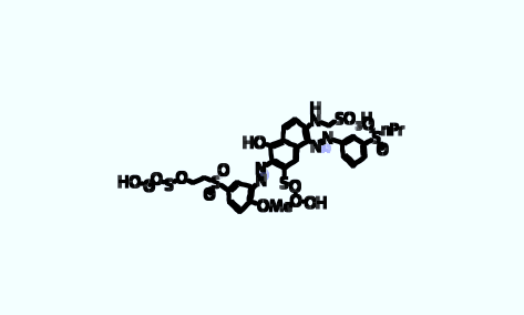 CCCS(=O)(=O)c1cccc(/N=N/c2c(NCS(=O)(=O)O)ccc3c(O)c(/N=N/c4cc(S(=O)(=O)CCOSOOO)ccc4OC)c(SOOO)cc23)c1